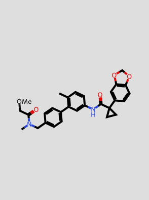 COCC(=O)N(C)Cc1ccc(-c2cc(NC(=O)C3(c4ccc5c(c4)OCO5)CC3)ccc2C)cc1